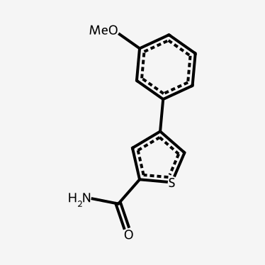 COc1cccc(-c2csc(C(N)=O)c2)c1